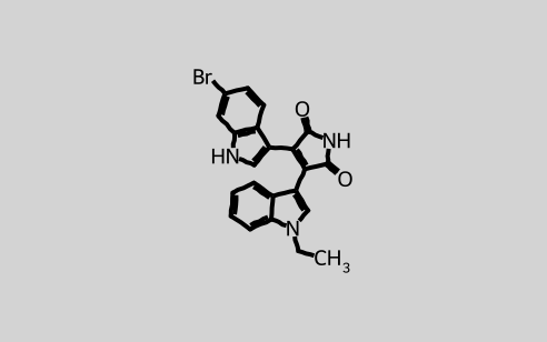 CCn1cc(C2=C(c3c[nH]c4cc(Br)ccc34)C(=O)NC2=O)c2ccccc21